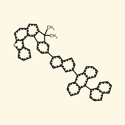 CC1(C)c2cc(-c3ccc4cc(-c5c6ccccc6c(-c6cccc7ccccc67)c6ccccc56)ccc4c3)ccc2-c2c1ccc1ccc3sc4ccccc4c3c21